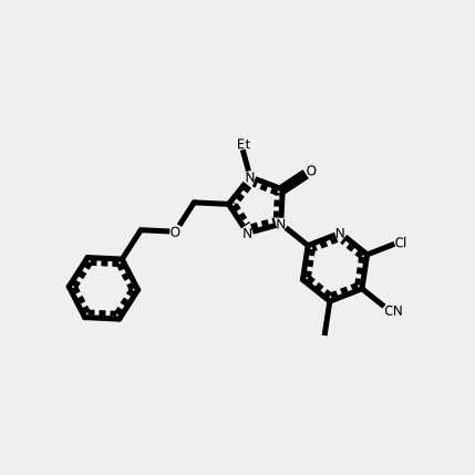 CCn1c(COCc2ccccc2)nn(-c2cc(C)c(C#N)c(Cl)n2)c1=O